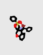 CC1(CS(=O)(=O)c2ccccc2)COc2ccccc2/C1=C(/Br)c1ccccc1